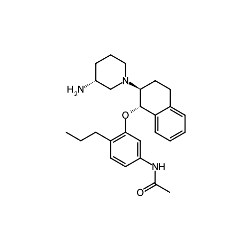 CCCc1ccc(NC(C)=O)cc1O[C@H]1c2ccccc2CC[C@@H]1N1CCC[C@@H](N)C1